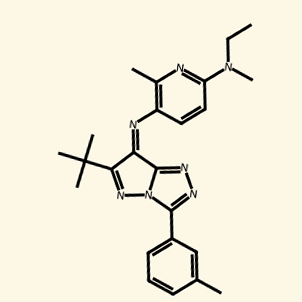 CCN(C)c1ccc(N=C2C(C(C)(C)C)=Nn3c2nnc3-c2cccc(C)c2)c(C)n1